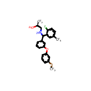 O[C@H](CNC(c1cccc(Oc2cccc(SC(F)(F)F)c2)c1)c1cc(C(F)(F)F)ccc1F)C(F)(F)F